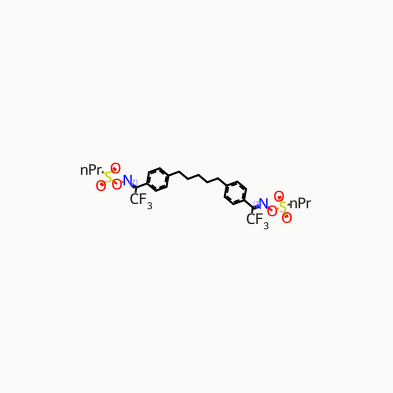 CCCS(=O)(=O)O/N=C(/c1ccc(CCCCCc2ccc(/C(=N/OS(=O)(=O)CCC)C(F)(F)F)cc2)cc1)C(F)(F)F